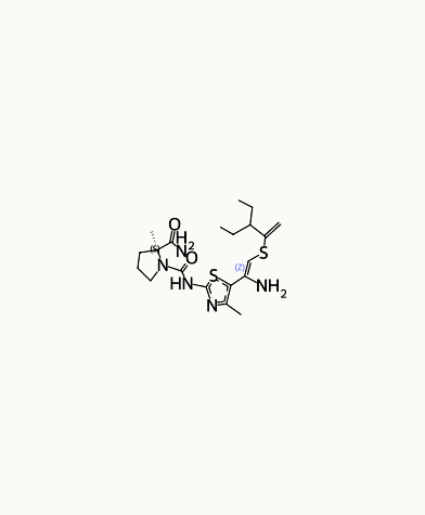 C=C(S/C=C(\N)c1sc(NC(=O)N2CCC[C@@]2(C)C(N)=O)nc1C)C(CC)CC